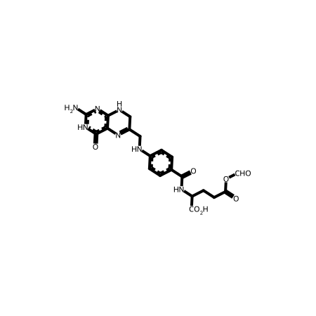 Nc1nc2c(c(=O)[nH]1)N=C(CNc1ccc(C(=O)NC(CCC(=O)OC=O)C(=O)O)cc1)CN2